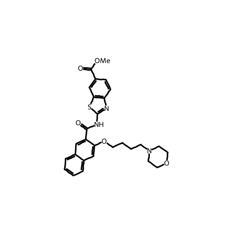 COC(=O)c1ccc2nc(NC(=O)c3cc4ccccc4cc3OCCCCN3CCOCC3)sc2c1